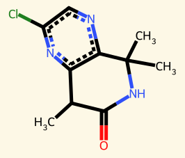 CC1C(=O)NC(C)(C)c2ncc(Cl)nc21